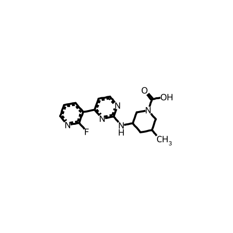 CC1CC(Nc2nccc(-c3cccnc3F)n2)CN(C(=O)O)C1